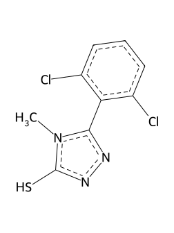 Cn1c(S)nnc1-c1c(Cl)cccc1Cl